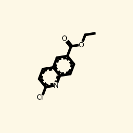 CCOC(=O)c1ccc2nc(Cl)ccc2c1